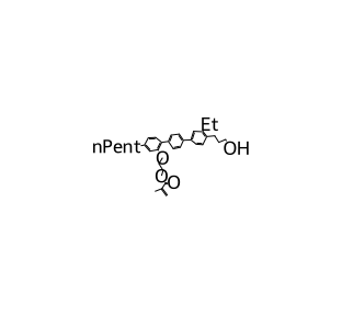 C=C(C)C(=O)OCCOc1cc(CCCCC)ccc1-c1ccc(-c2ccc(CCCO)c(CC)c2)cc1